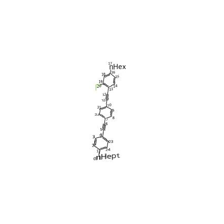 CCCCCCCc1ccc(C#Cc2ccc(C#Cc3ccc(CCCCCC)cc3F)cc2)cc1